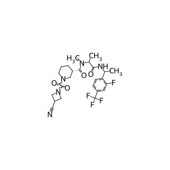 CC(NC(=O)C(C)N(C)C(=O)[C@H]1CCCN(S(=O)(=O)N2CC(C#N)C2)C1)c1ccc(C(F)(F)F)cc1F